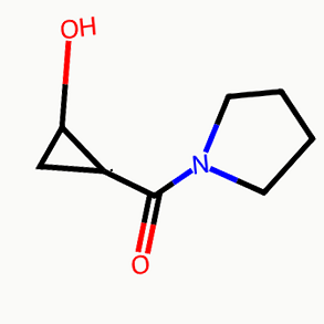 O=C([C]1CC1O)N1CCCC1